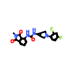 CN1C(=O)c2cccc(NC(=O)NC3C4CN(c5ccc(F)cc5F)CC43)c2C1=O